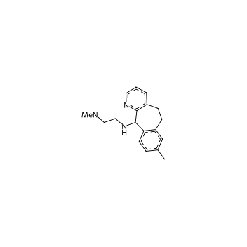 CNCCNC1c2ccc(C)cc2CCc2cccnc21